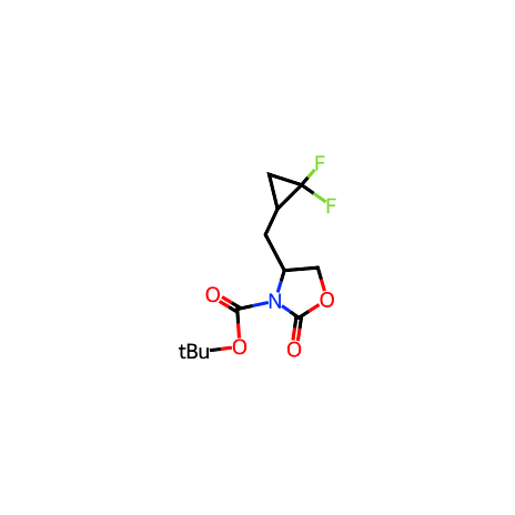 CC(C)(C)OC(=O)N1C(=O)OCC1CC1CC1(F)F